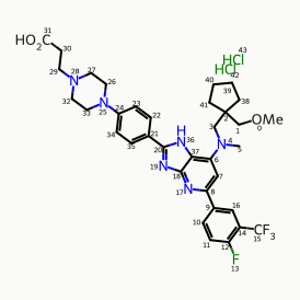 COCC1(CN(C)c2cc(-c3ccc(F)c(C(F)(F)F)c3)nc3nc(-c4ccc(N5CCN(CCC(=O)O)CC5)cc4)[nH]c23)CCCC1.Cl.Cl